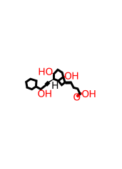 O=C(O)CCC=C1C[C@@H]2[C@@H](C#C[C@@H](O)C3CCCCC3)[C@H](O)CC[C@]12O